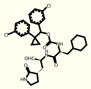 O=C[C@H](C[C@@H]1CCNC1=O)NC(=O)[C@H](CC1CCCCC1)NC(=O)OC(c1cccc(Cl)c1)C1(c2cccc(Cl)c2)CC1